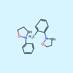 B1CCON1c1ccccc1.Cc1ccccc1N1BCCO1